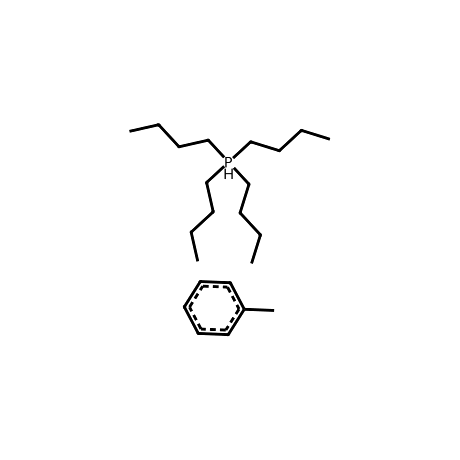 CCCC[PH](CCCC)(CCCC)CCCC.Cc1ccccc1